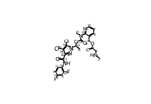 CNCC(=O)OCc1cccnc1N(C)C(=O)OC(C)n1nc(C(=O)Nc2ccc(F)cc2F)c(Cl)c1Cl